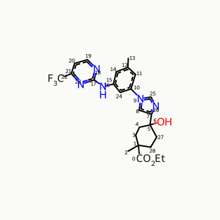 CCOC(=O)C1(C)CCC(O)(c2cn(-c3cc(C)cc(Nc4nccc(C(F)(F)F)n4)c3)cn2)CC1